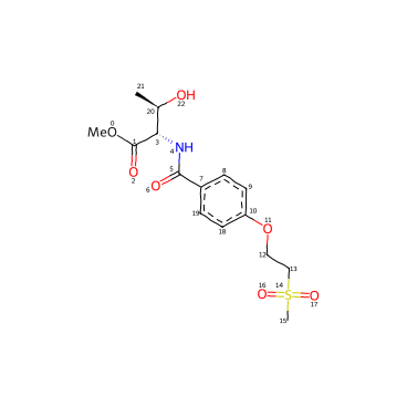 COC(=O)[C@@H](NC(=O)c1ccc(OCCS(C)(=O)=O)cc1)[C@@H](C)O